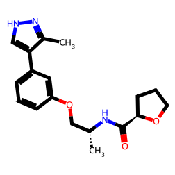 Cc1n[nH]cc1-c1c[c]cc(OC[C@@H](C)NC(=O)[C@H]2CCCO2)c1